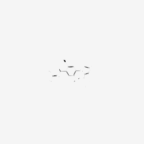 C#Cc1cc(-n2cc(C)nc2C)c(S(C)(=O)=O)cc1C(=O)N=C(N)N